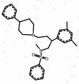 Cc1cc(C)cc(C(CCN2CCC(c3ccccc3)CC2)CN(C)S(=O)(=O)c2ccccc2)c1